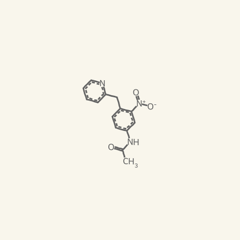 CC(=O)Nc1ccc(Cc2ccccn2)c([N+](=O)[O-])c1